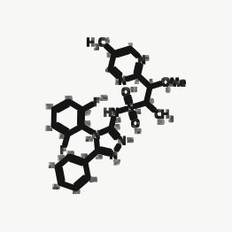 COC(c1ncc(C)cn1)C(C)S(=O)(=O)Nc1nnc(-c2ccccc2)n1-c1c(F)cccc1F